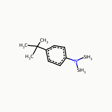 CC(C)(C)c1ccc(N([SiH3])[SiH3])cc1